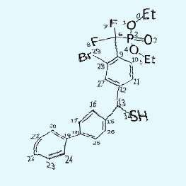 CCOP(=O)(OCC)C(F)(F)c1ccc(C(S)c2ccc(-c3ccccc3)cc2)cc1Br